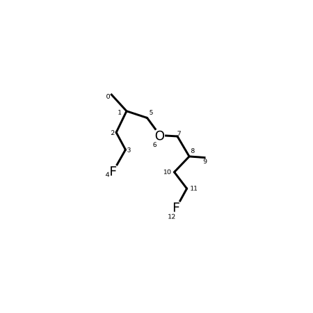 CC(CCF)COCC(C)CCF